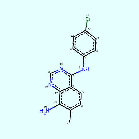 Cc1ccc2c(Nc3ccc(Cl)cc3)ncnc2c1N